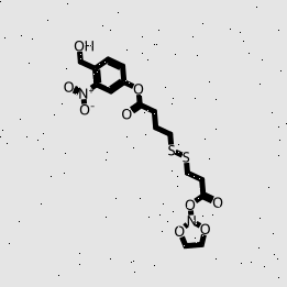 O=C(CCCSSCCC(=O)ON1OCCO1)Oc1ccc(CO)c([N+](=O)[O-])c1